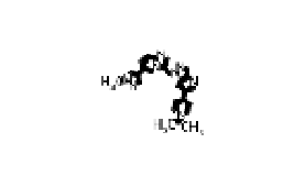 CC(C)N1CC=C(c2cnc3cnn(Cc4cnc5ccc(-c6cnn(C)c6)cn45)c3c2)CC1